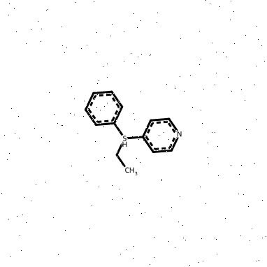 CC[SH](c1ccccc1)c1ccncc1